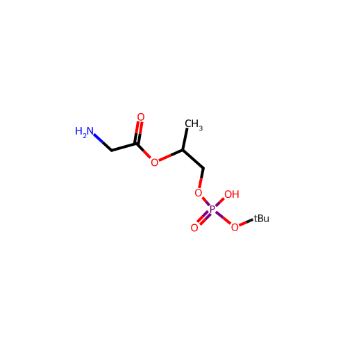 CC(COP(=O)(O)OC(C)(C)C)OC(=O)CN